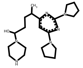 CC(CCC(O)N1CCNCC1)c1cc(N2CCCC2)nc(N2CCCC2)n1